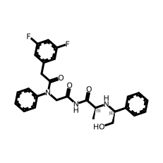 C[C@H](N[C@H](CO)c1ccccc1)C(=O)NC(=O)CN(C(=O)Cc1cc(F)cc(F)c1)c1ccccc1